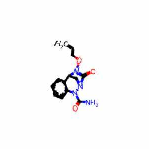 C=CCON1C(=O)N2CC1c1ccccc1N2C(N)=O